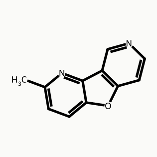 Cc1ccc2oc3ccncc3c2n1